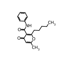 CCCCCc1oc(C)cc(=O)c1C(=O)Nc1ccccc1